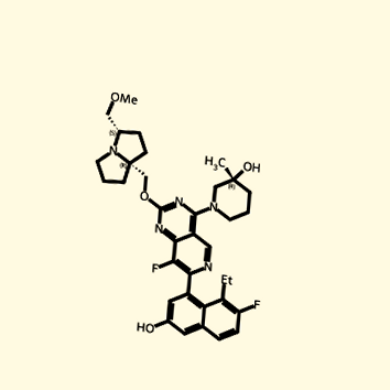 CCc1c(F)ccc2cc(O)cc(-c3ncc4c(N5CCC[C@@](C)(O)C5)nc(OC[C@]56CCCN5[C@H](COC)CC6)nc4c3F)c12